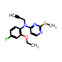 C#CCN(c1ccnc(SC)n1)c1ccc(F)cc1OCC